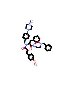 CCOc1ccc(C=CC(=O)N(Cc2ccc(N3CCN(C(C)=O)CC3)cc2)C(Cc2ccccc2)C(=O)N2CCN(Cc3ccccc3)CC2)cc1